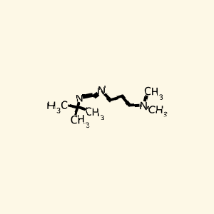 CN(C)CCCN=C=NC(C)(C)C